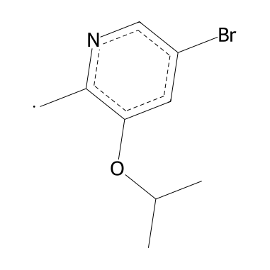 [CH2]c1ncc(Br)cc1OC(C)C